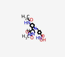 C=CC(=O)Nc1ccc2c(c1)c1c(n2Cc2ccc(C(=O)NO)cc2)CN2C[C@H]1C(=O)N(C)C2=O